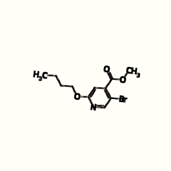 CCCCOc1cc(C(=O)OC)c(Br)cn1